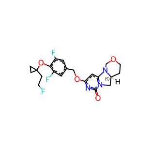 O=c1nc(OCc2cc(F)c(OC3(CCF)CC3)c(F)c2)cc2n1C[C@@H]1CCOCN21